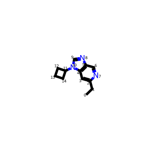 CCc1cc2c(cn1)ncn2C1CCC1